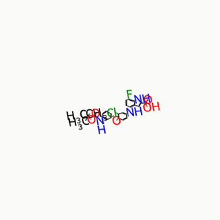 CC(C)(C)OC(=O)Nc1cccc(Oc2ccc(Nc3ccc(F)c4[nH]c(C(=O)O)cc34)cc2Cl)c1